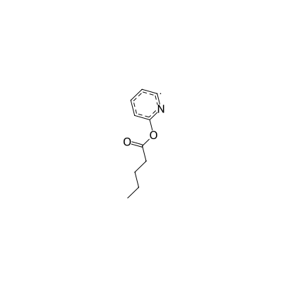 CCCCC(=O)Oc1ccc[c]n1